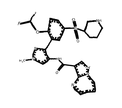 Cn1cc(NC(=O)c2cnn3cccnc23)c(-c2cc(S(=O)(=O)C3CCCNC3)ccc2OC(F)F)n1